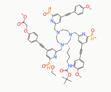 CCO[PH](=O)c1cc(C#Cc2ccc(OCC(=O)OC)cc2)cc(CN2CCN(Cc3cc(C#Cc4ccc(OC)cc4)cc([PH](C)=O)n3)CCN(Cc3cc(C#Cc4ccc(OC)cc4)cc([PH](C)=O)n3)C[C@@H]2CCCCNC(=O)OC(C)(C)C)n1